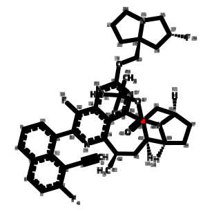 C#Cc1c(F)ccc2cccc(-c3nc4c5c(nc(OC[C@@]67CCCN6C[C@H](F)C7)nc5c3F)N3C[C@H]5CC[C@@H]([C@H]3C[C@H]4C)N5C(=O)OC(C)(C)C)c12